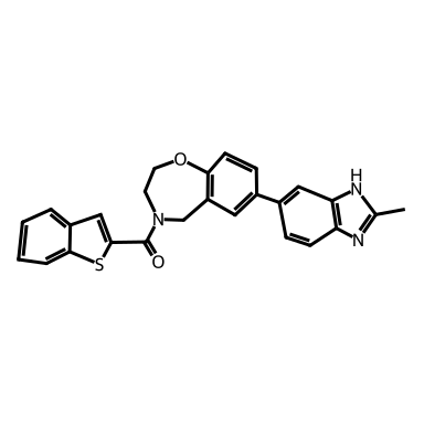 Cc1nc2ccc(-c3ccc4c(c3)CN(C(=O)c3cc5ccccc5s3)CCO4)cc2[nH]1